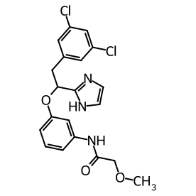 COCC(=O)Nc1cccc(OC(Cc2cc(Cl)cc(Cl)c2)c2ncc[nH]2)c1